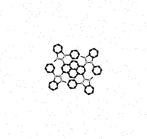 CN1B(c2cc(B3N(C)c4ccccc4N3c3ccccc3)c3ccc4c(B5N(C)c6ccccc6N5c5ccccc5)cc(B5N(C)c6ccccc6N5c5ccccc5)c5ccc2c3c54)N(c2ccccc2)c2ccccc21